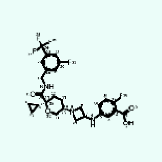 O=C(O)c1cc(NC2CN([C@@H]3CC[C@@](C(=O)NCc4cc(F)cc(C(F)(F)F)c4)(C4CC4)OC3)C2)ccc1F